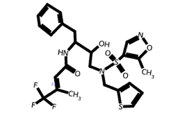 C/C(=C\C(=O)NC(Cc1ccccc1)C(O)CN(Cc1cccs1)S(=O)(=O)c1cnoc1C)C(F)(F)F